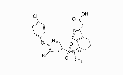 CN([C@@H]1CCCc2c1cnn2CC(=O)O)S(=O)(=O)c1cnc(Oc2ccc(Cl)cc2)c(Br)c1